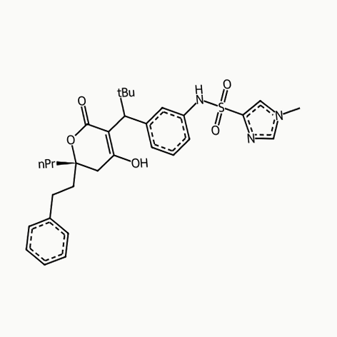 CCC[C@]1(CCc2ccccc2)CC(O)=C(C(c2cccc(NS(=O)(=O)c3cn(C)cn3)c2)C(C)(C)C)C(=O)O1